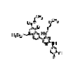 CCOC(=O)c1cn(CCOC)c2ccc(-c3cnc(Nc4ccc(F)c(Cl)c4)nc3NCCCOC)cc2c1=O